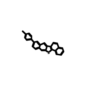 Cc1ccc(-c2ccc3cc4sc5c6ccccc6ccc5c4cc3c2)cc1